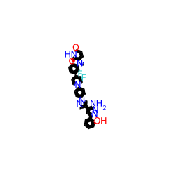 CN(c1cccc([C@@H]2CCN([C@H]3CC[C@H](n4cc(-c5cc(-c6ccccc6O)nnc5N)cn4)CC3)CC2(F)F)c1)[C@H]1CCC(=O)NC1=O